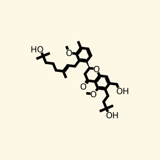 COc1c(C)ccc([C@@H]2CC(=O)c3c(cc(CO)c(CCC(C)(C)O)c3OC)O2)c1C/C=C(\C)CCCC(C)(C)O